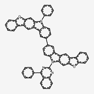 c1ccc(-c2nc(-n3c4ccc(-c5ccc6c(c5)c5cc7c(cc5n6-c5ccccc5)oc5ccccc57)cc4c4cc5c(cc43)oc3ccccc35)nc3ccccc23)cc1